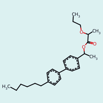 CCCCCCc1ccc(-c2ccc(C(C)OC(=O)C(C)OCCC)cc2)cc1